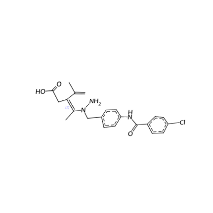 C=C(C)/C(CC(=O)O)=C(/C)N(N)Cc1ccc(NC(=O)c2ccc(Cl)cc2)cc1